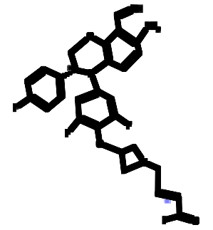 N=Cc1c(N)ccc2c1OC[C@@H](c1ccc(F)cc1)N2c1cc(F)c(OC2CN(C/C=C/C(=O)I)C2)c(F)c1